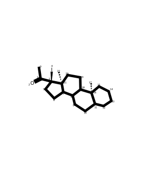 CC(=O)[C@@]1(I)CCC2C3CCC4CCCC[C@]4(C)C3CC[C@@]21C